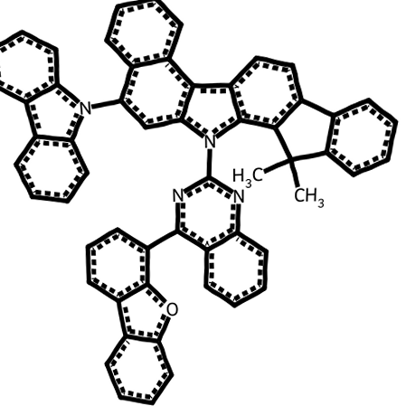 CC1(C)c2ccccc2-c2ccc3c4c5ccccc5c(-n5c6ccccc6c6ccccc65)cc4n(-c4nc(-c5cccc6c5oc5ccccc56)c5ccccc5n4)c3c21